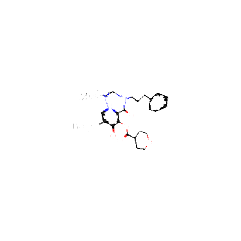 COCCN(CCCc1ccccc1)C(=O)c1[nH]cc(C(=O)O)c(=O)c1OC(=O)C1CCOCC1